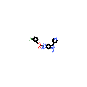 O=C(OCc1cccc(Cl)c1)c1nc2cc3c(-c4ccncc4)n[nH]c3cc2[nH]1